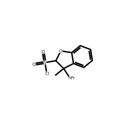 CCCC1(C)c2ccccc2OC1S(=O)(=O)Cl